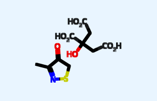 CC1=NSCC1=O.O=C(O)CC(O)(CC(=O)O)C(=O)O